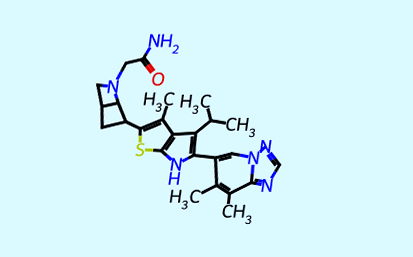 Cc1c(-c2[nH]c3sc(C4CC5CN(CC(N)=O)C54)c(C)c3c2C(C)C)cn2ncnc2c1C